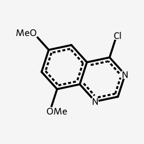 COc1cc(OC)c2ncnc(Cl)c2c1